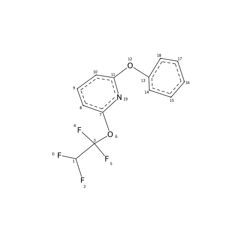 FC(F)C(F)(F)Oc1cccc(Oc2ccccc2)n1